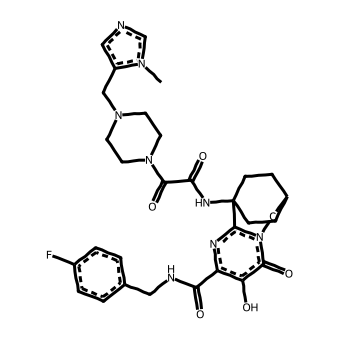 Cn1cncc1CN1CCN(C(=O)C(=O)NC23CCC(CC2)Cn2c3nc(C(=O)NCc3ccc(F)cc3)c(O)c2=O)CC1